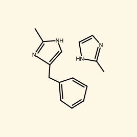 Cc1nc(Cc2ccccc2)c[nH]1.Cc1ncc[nH]1